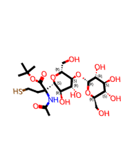 CC(=O)NC(CCS)(C(=O)OC(C)(C)C)[C@@H]1O[C@H](CO)[C@@H](O[C@H]2O[C@H](CO)[C@@H](O)[C@H](O)[C@H]2O)[C@H](O)[C@H]1O